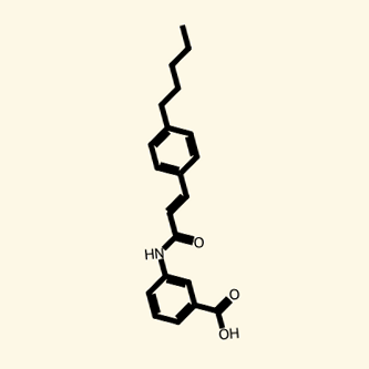 CCCCCc1ccc(/C=C/C(=O)Nc2cccc(C(=O)O)c2)cc1